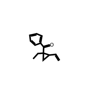 C=CC1CC1(CC)C(=O)c1ccccc1